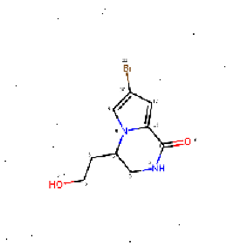 O=C1NCC(CCO)n2cc(Br)cc21